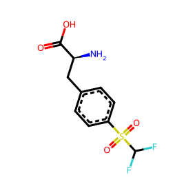 N[C@@H](Cc1ccc(S(=O)(=O)C(F)F)cc1)C(=O)O